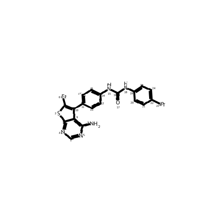 CCc1sc2ncnc(N)c2c1-c1ccc(NC(=O)Nc2ccc(C(C)C)cc2)cc1